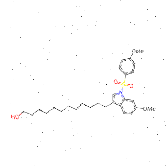 COc1ccc(S(=O)(=O)n2cc(CCCCCCCCCCCCO)c3ccc(OC)cc32)cc1